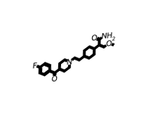 COCC(C(N)=O)C1CCC(CCN2CCC(C(=O)c3ccc(F)cc3)CC2)CC1